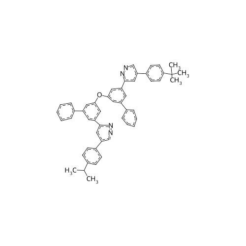 CC(C)c1ccc(-c2cnnc(-c3cc(Oc4cc(-c5ccccc5)cc(-c5cc(-c6ccc(C(C)(C)C)cc6)cnn5)c4)cc(-c4ccccc4)c3)c2)cc1